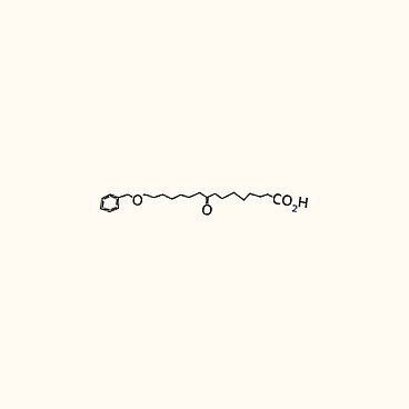 O=C(O)CCCCCCCC(=O)CCCCCCCOCc1ccccc1